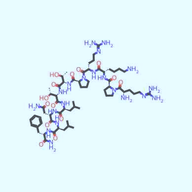 CC(C)C[C@H](NC(=O)[C@H](CC(N)=O)NC(=O)[C@H](CC(C)C)NC(=O)[C@@H](NC(=O)[C@@H](NC(=O)[C@@H]1CCCN1C(=O)[C@H](CCCN=C(N)N)NC(=O)[C@H](CCCCN)NC(=O)[C@@H]1CCCN1C(=O)[C@@H](N)CCCN=C(N)N)[C@@H](C)O)[C@@H](C)O)C(=O)N[C@@H](Cc1ccccc1)C(N)=O